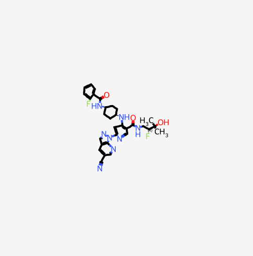 CC(C)(O)[C@H](F)CNC(=O)c1cnc(-n2ncc3cc(C#N)cnc32)cc1N[C@H]1CC[C@H](NC(=O)c2ccccc2F)CC1